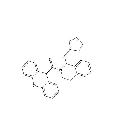 O=C(C1c2ccccc2Oc2ccccc21)N1CCc2ccccc2C1CN1CCCC1